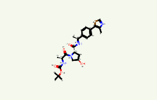 Cc1ncsc1-c1ccc([C@H](C)NC(=O)[C@@H]2C[C@@H](O)CN2C(=O)[C@H](C)NC(=O)OC(C)(C)C)cc1